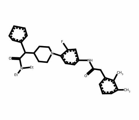 CCN(CC)C(=O)C(c1ccccc1)C1CCN(c2ccc(NC(=O)Cc3cccc(C)c3C)cc2F)CC1